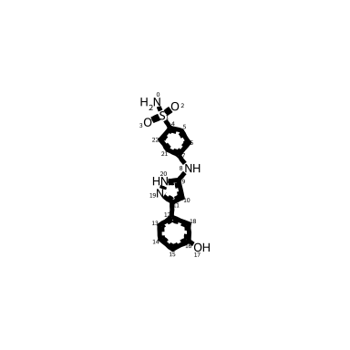 NS(=O)(=O)c1ccc(Nc2cc(-c3cccc(O)c3)n[nH]2)cc1